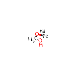 CO.[Ni].[O]=[Fe]